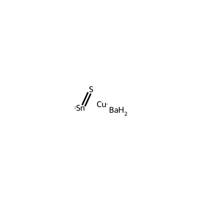 [BaH2].[Cu].[S]=[Sn]